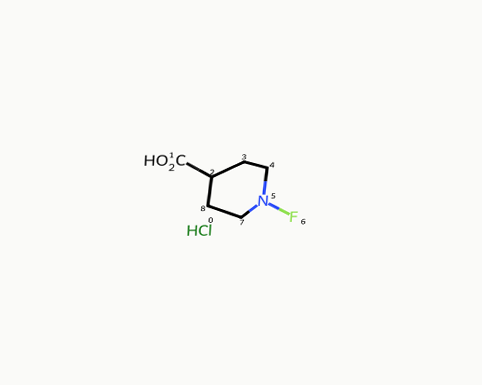 Cl.O=C(O)C1CCN(F)CC1